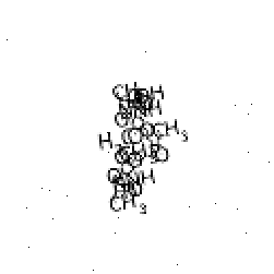 C/C=C1\C[C@H]2C(=O)Nc3cc(OCCCP(=O)(CCCC)CCCOc4cc5c(cc4OC)C(=O)N4C/C(=C/C)C[C@H]4C(S(=O)(=O)O)N5)c(OC)cc3C(=O)N2C1